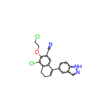 N#Cc1cc2c(c(Cl)c1OCCCl)CCC=C2c1ccc2[nH]ncc2c1